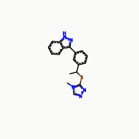 CC(Sc1nncn1C)c1cccc(-c2n[nH]c3ccccc23)c1